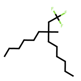 CCCCCCC(C)(CCCCCC)CC(F)(F)F